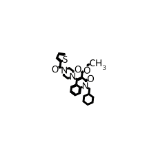 CCOC(=O)c1c(N2CCN(C(=O)c3cccs3)CC2)c2ccccc2n(CC2CCCCC2)c1=O